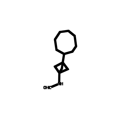 O=CNC12CC(C3CCCCCCC3)(C1)C2